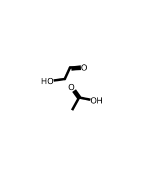 CC(=O)O.O=CCO